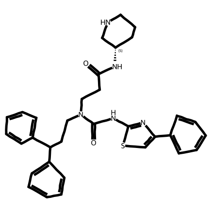 O=C(CCN(CCC(c1ccccc1)c1ccccc1)C(=O)Nc1nc(-c2ccccc2)cs1)N[C@H]1CCCNC1